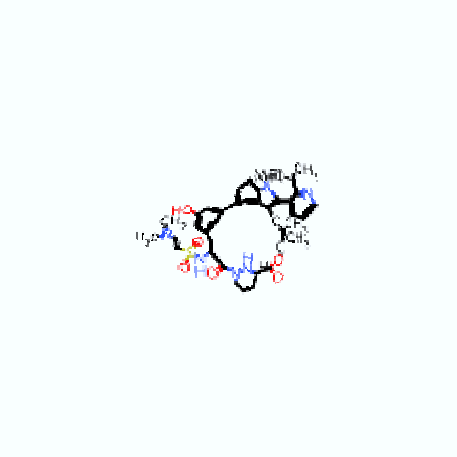 CCn1c(-c2cccnc2[C@H](C)OC)c2c3cc(ccc31)-c1cc(O)cc(c1)C[C@H](NS(=O)(=O)CCN(C)C)C(=O)N1CCC[C@H](N1)C(=O)OCC(C)(C)C2